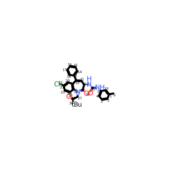 Cc1cccc(NC(=O)N[C@@H]2C=C(c3ccccc3)c3cc(Cl)ccc3N(CC(=O)C(C)(C)C)C2=O)c1